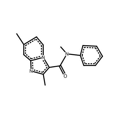 Cc1ccn2c(C(=O)N(C)c3ccccc3)c(C)nc2c1